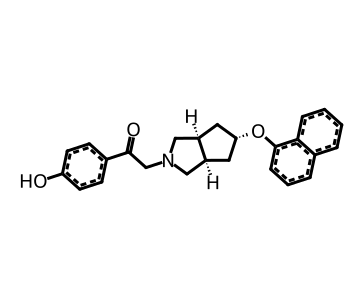 O=C(CN1C[C@H]2C[C@H](Oc3cccc4ccccc34)C[C@H]2C1)c1ccc(O)cc1